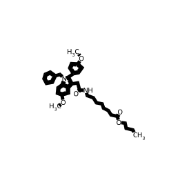 CCCCOC(=O)CCCCCCCNC(=O)Cc1c(-c2ccc(OC)cc2)n(Cc2ccccc2)c2ccc(OC)cc12